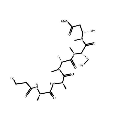 CNC(=O)C[C@H](C(C)C)N(C)C(=O)[C@H](CC(C)C)N(C)C(=O)[C@@H](C)N(C)C(=O)[C@@H](C)NC(=O)[C@@H](C)NC(=O)CCC(C)C